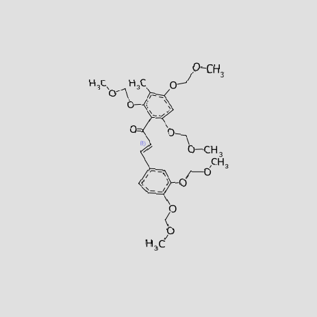 COCOc1ccc(/C=C/C(=O)c2c(OCOC)cc(OCOC)c(C)c2OCOC)cc1OCOC